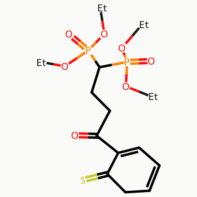 CCOP(=O)(OCC)C(CCC(=O)C1=CC=CCC1=S)P(=O)(OCC)OCC